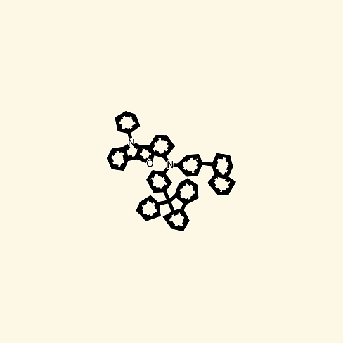 c1ccc(-n2c3ccccc3c3oc4c(N(c5ccc(-c6cccc7ccccc67)cc5)c5cccc(C6(c7ccccc7)c7ccccc7-c7ccccc76)c5)cccc4c32)cc1